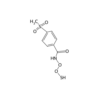 CS(=O)(=O)c1ccc(C(=O)NOOS)cc1